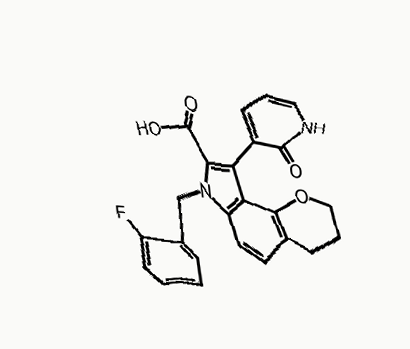 O=C(O)c1c(-c2ccc[nH]c2=O)c2c3c(ccc2n1Cc1ccccc1F)CCCO3